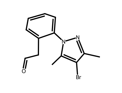 Cc1nn(-c2ccccc2CC=O)c(C)c1Br